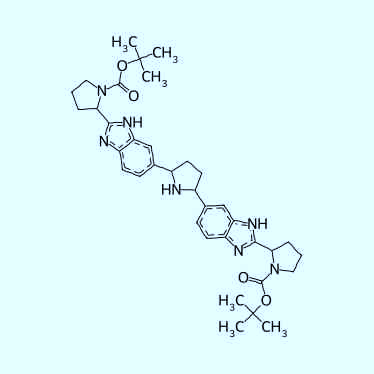 CC(C)(C)OC(=O)N1CCCC1c1nc2ccc(C3CCC(c4ccc5nc(C6CCCN6C(=O)OC(C)(C)C)[nH]c5c4)N3)cc2[nH]1